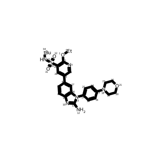 CCOc1ncc(-c2ccc3nc(N)n(-c4ccc(N5CCOCC5)cc4)c3c2)cc1S(=O)(=O)NC(C)(C)C